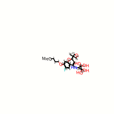 COCCCOc1cc2c(cc1F)C(NC1C(O)(O)C1(O)O)=CC(C1(C)COC1)O2